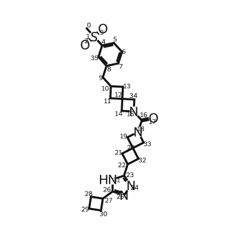 CS(=O)(=O)c1cccc(CC2CC3(C2)CN(C(=O)N2CC4(CC(c5nnc(C6CCC6)[nH]5)C4)C2)C3)c1